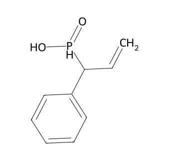 C=CC(c1ccccc1)[PH](=O)O